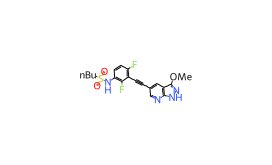 CCCCS(=O)(=O)Nc1ccc(F)c(C#Cc2cnc3[nH]nc(OC)c3c2)c1F